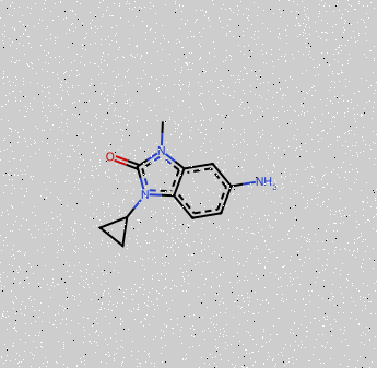 Cn1c(=O)n(C2CC2)c2ccc(N)cc21